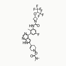 Cc1c(NC(=O)N2CC(OC(C(F)(F)F)C(F)(F)F)C2)cc(F)cc1-c1ncnc2[nH]c(C3=CCN(OC(=O)N(C)C)CC3)cc12